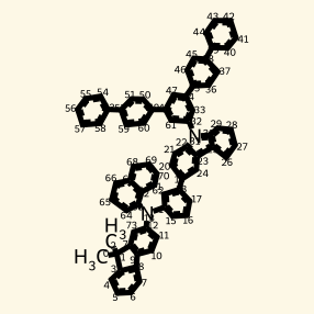 CC1(C)c2ccccc2-c2ccc(N(c3cccc(-c4ccc5c(c4)c4ccccc4n5-c4cc(-c5ccc(-c6ccccc6)cc5)cc(-c5ccc(-c6ccccc6)cc5)c4)c3)c3cccc4ccccc34)cc21